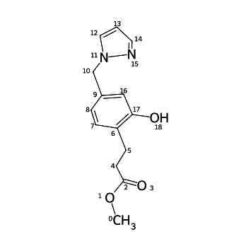 COC(=O)CCc1ccc(Cn2cccn2)cc1O